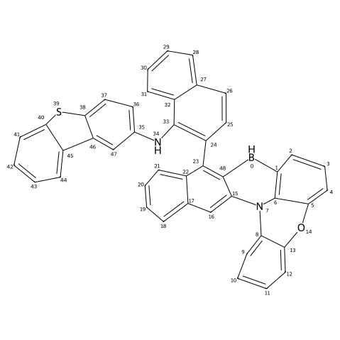 B1c2cccc3c2N(c2ccccc2O3)c2cc3ccccc3c(-c3ccc4ccccc4c3Nc3ccc4sc5ccccc5c4c3)c21